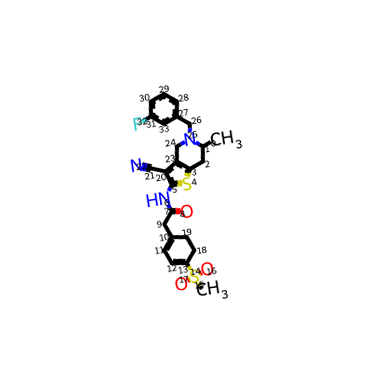 CC1Cc2sc(NC(=O)CC3=CC=C(S(C)(=O)=O)CC3)c(C#N)c2CN1Cc1cccc(F)c1